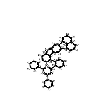 c1ccc(-c2nc(-c3ccccc3)nc(-c3ccccc3-c3cccc4oc5cc6c(cc5c34)-c3cccc4cccc-6c34)n2)cc1